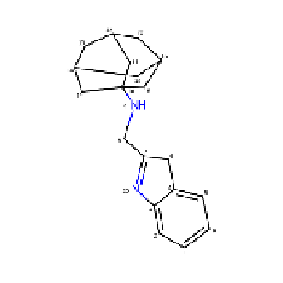 c1ccc2c(c1)CC(CNC13CC4CC(CC(C4)C1)C3)=N2